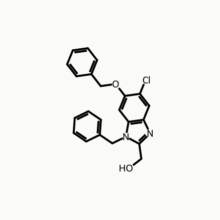 OCc1nc2cc(Cl)c(OCc3ccccc3)cc2n1Cc1ccccc1